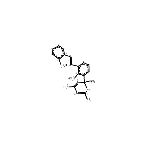 NC1=NC(N)(c2cccc(/C=C/c3ccccc3S(=O)(=O)O)c2S(=O)(=O)O)NC(N)=N1